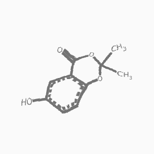 CC1(C)OC(=O)c2cc(O)ccc2O1